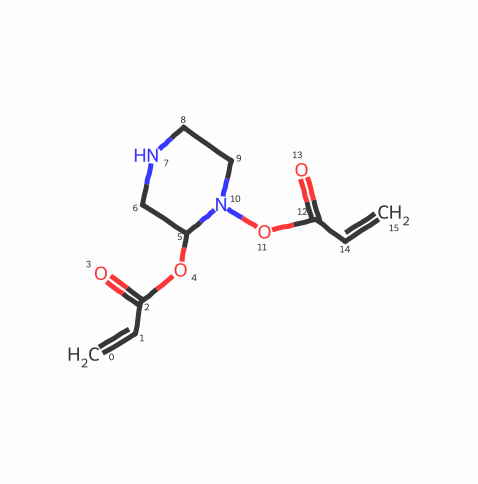 C=CC(=O)OC1CNCCN1OC(=O)C=C